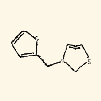 C1=CN(Cc2cccs2)CS1